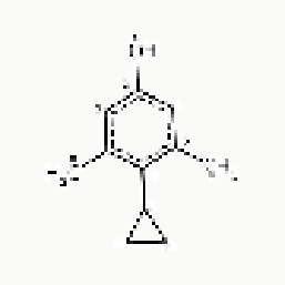 Cc1cc(O)cc(C)c1C1CC1